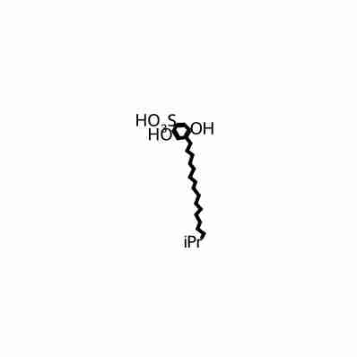 CC(C)CCCCCCCCCCCCCCCc1cc(O)c(S(=O)(=O)O)cc1O